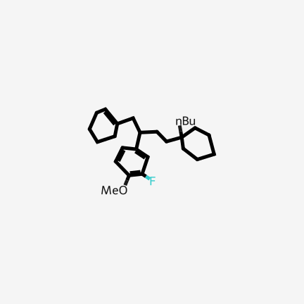 CCCCC1(CCC(CC2=CCCCC2)c2ccc(OC)c(F)c2)CCCCC1